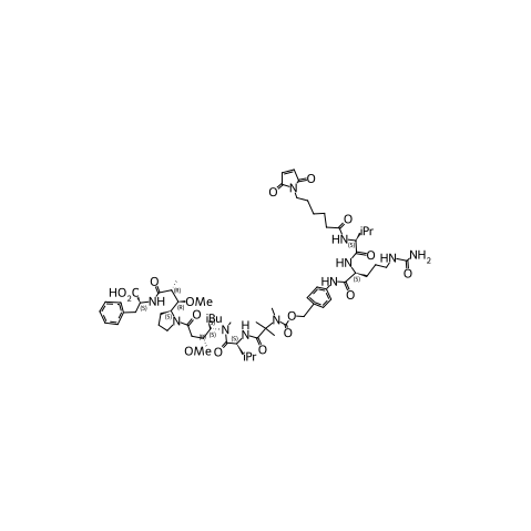 CC[C@H](C)[C@@H]([C@@H](CC(=O)N1CCC[C@H]1[C@H](OC)[C@@H](C)C(=O)N[C@@H](Cc1ccccc1)C(=O)O)OC)N(C)C(=O)[C@@H](NC(=O)C(C)(C)N(C)C(=O)OCc1ccc(NC(=O)[C@H](CCCNC(N)=O)NC(=O)[C@@H](NC(=O)CCCCCN2C(=O)C=CC2=O)C(C)C)cc1)C(C)C